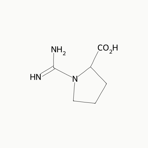 N=C(N)N1CCCC1C(=O)O